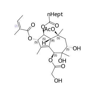 C/C=C(/C)C(=O)O[C@H]1C(C)=C2[C@H]([C@@H]1OC(=O)CCCCCCC)[C@@](C)(OC(C)=O)C[C@H](O)C(C)(O)[C@H]2OC(=O)CO